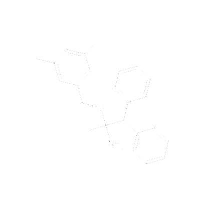 Cc1cc(C)cc(COC(C)(N)C(c2ccccc2)c2ccccc2)c1